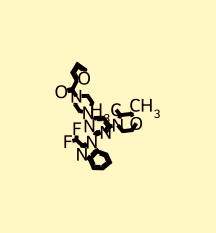 CC1OCCN(c2cc(N3CCN(C(=O)c4ccco4)CC3)nc(-n3c(C(F)F)nc4ccccc43)n2)C1C